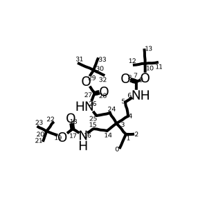 CC(C)C(CCNC(=O)OC(C)(C)C)(CCNC(=O)OC(C)(C)C)CCNC(=O)OC(C)(C)C